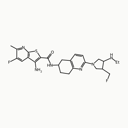 CCNC1CN(c2ccc3c(n2)CCC(NC(=O)c2sc4nc(C)c(F)cc4c2N)C3)CC1CF